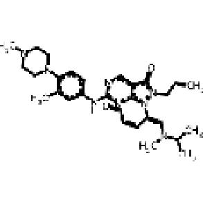 C=CCn1c(=O)c2cnc(Nc3ccc(N4CCN(C)CC4)c(C)c3)nc2n1C(/C=C\C=O)=C/N(C)C(C)C